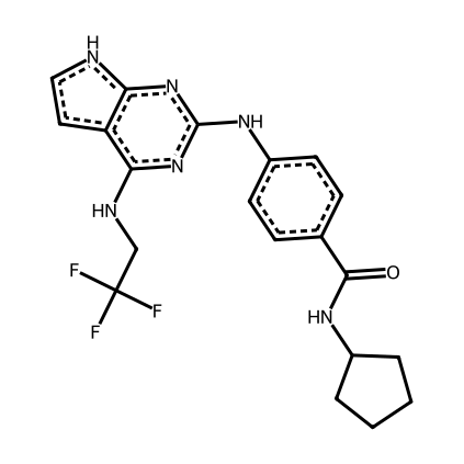 O=C(NC1CCCC1)c1ccc(Nc2nc(NCC(F)(F)F)c3cc[nH]c3n2)cc1